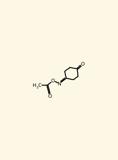 CC(=O)ON=C1CCC(=O)CC1